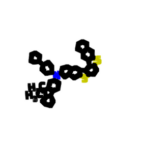 CC1(C)c2ccccc2-c2ccc(N(c3ccc(-c4ccccc4)cc3)c3ccc4cc5c(cc4c3)sc3ccc4sc6cc7ccccc7cc6c4c35)cc21